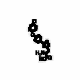 N[C@@H](Cc1noc(-c2ccc(Oc3ccc(Cl)cn3)cc2)n1)C(=O)O